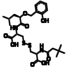 CC(C)C[C@@H](OCc1ccccc1O)C(=O)NC(CSSCC(NC(=O)CC(C)(C)C)C(=O)O)C(=O)O